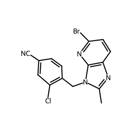 Cc1nc2ccc(Br)nc2n1Cc1ccc(C#N)cc1Cl